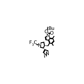 Cc1cc(C)c2c(ccn2C(=O)OC(C)(C)C)c1C[C@@H]1CCN(CC(F)(F)F)C[C@H]1c1cnn(C)c1